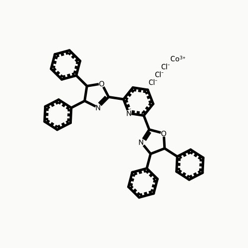 [Cl-].[Cl-].[Cl-].[Co+3].c1ccc(C2N=C(c3cccc(C4=NC(c5ccccc5)C(c5ccccc5)O4)n3)OC2c2ccccc2)cc1